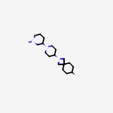 CN1CCCC(N2CCC(N3CC4(CCC(C(C)(C)C)CC4)C3)CC2)C1